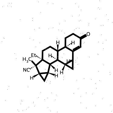 CC[C@]12CC[C@H]3[C@@H]([C@H]4C[C@H]4C4=CC(=O)CC[C@@H]43)[C@@H]1[C@@H]1C[C@@H]1[C@]2(C)C#N